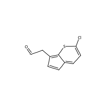 O=[C]Cc1ccc2ccc(Cl)sc1-2